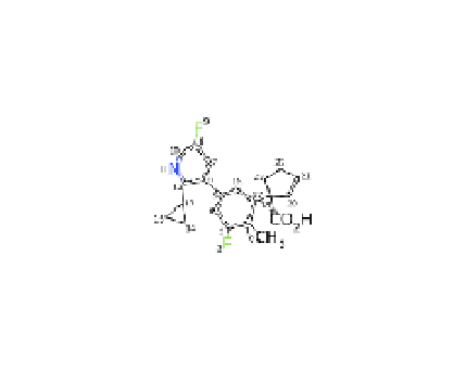 Cc1c(F)cc(-c2cc(F)cnc2C2CC2)cc1C1(C(=O)O)C=CCC1